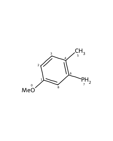 COc1ccc(C)c(P)c1